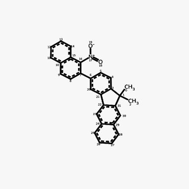 CC1(C)c2ccc(-c3ccc4ccccc4c3[N+](=O)[O-])cc2-c2cc3ccccc3cc21